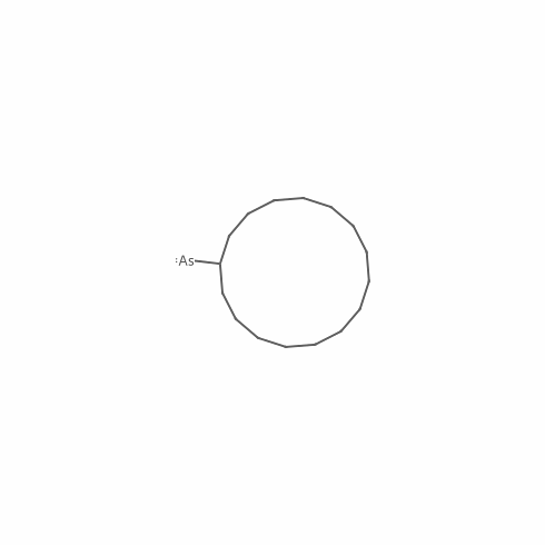 [As]C1CCCCCCCCCCCCCCC1